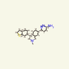 CN1Cc2cc(-c3ccc(N)nn3)ccc2C(c2ccc3ccsc3c2)C1